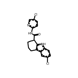 O=C(Nc1ccc(Cl)cn1)C1CCCc2c1[nH]c1ccc(Cl)cc21